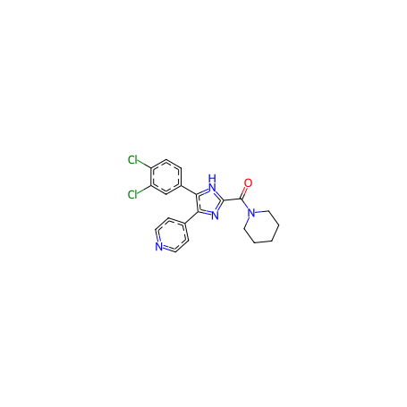 O=C(c1nc(-c2ccncc2)c(-c2ccc(Cl)c(Cl)c2)[nH]1)N1CCCCC1